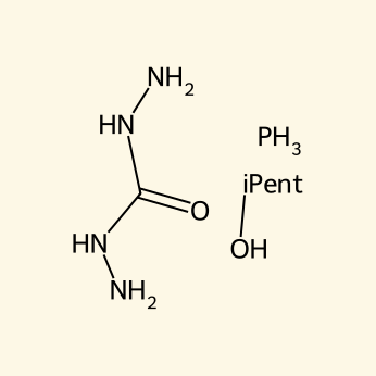 CCCC(C)O.NNC(=O)NN.P